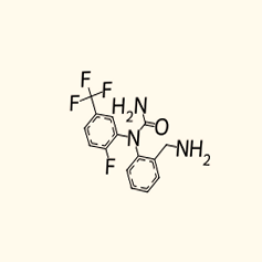 NCc1ccccc1N(C(N)=O)c1cc(C(F)(F)F)ccc1F